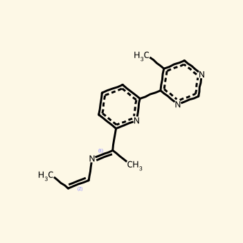 C/C=C\N=C(/C)c1cccc(-c2ncncc2C)n1